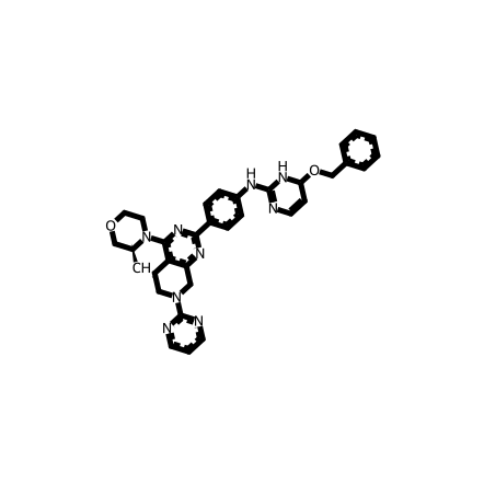 C[C@H]1COCCN1c1nc(-c2ccc(NC3=NC=CC(OCc4ccccc4)N3)cc2)nc2c1CCN(c1ncccn1)C2